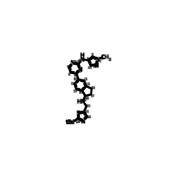 Cn1cc(Nc2nccc(-c3ccc4c(c3)CCC4NCc3cnc(C(C)(C)C)s3)n2)cn1